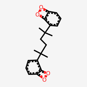 CC(C)(CCC(C)(C)c1cccc2ooc12)c1cccc2ooc12